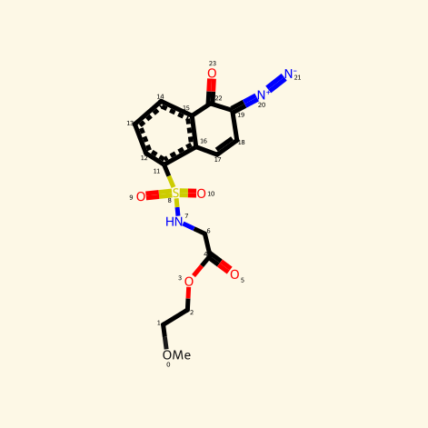 COCCOC(=O)CNS(=O)(=O)c1cccc2c1C=CC(=[N+]=[N-])C2=O